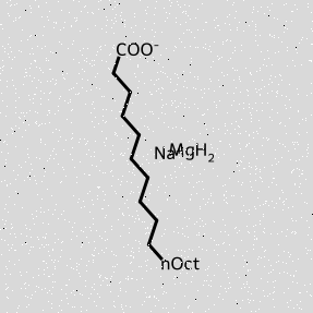 CCCCCCCCCCCCCCCCCC(=O)[O-].[MgH2].[Na+]